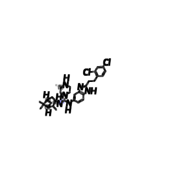 CC1[C@@H](/N=C(/Nc2ccc3[nH]c(CCc4ccc(Cl)cc4Cl)nc3c2)N2CCN[C@@H](C)C2)C[C@H]2C[C@@H]1C2(C)C